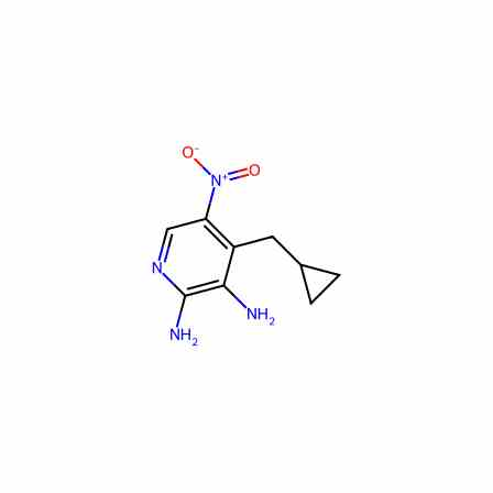 Nc1ncc([N+](=O)[O-])c(CC2CC2)c1N